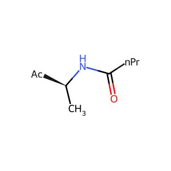 CCCC(=O)N[C@@H](C)C(C)=O